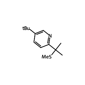 CSC(C)(C)c1ccc(C(C)(C)C)cn1